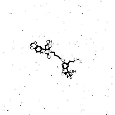 CCCc1cc(C(O)(C(F)(F)F)C(F)(F)F)ccc1OCCCCN1C(=O)NC(CCC)(c2ccc3c(c2)OCCO3)C1=O